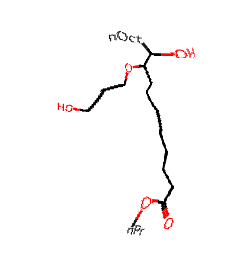 CCCCCCCCC(O)C(CCCCCCCC(=O)OCCC)OCCCO